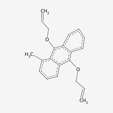 C=CCOc1c2ccccc2c(OCC=C)c2c(C)cccc12